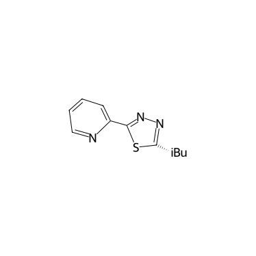 CC[C@@H](C)c1nnc(-c2ccccn2)s1